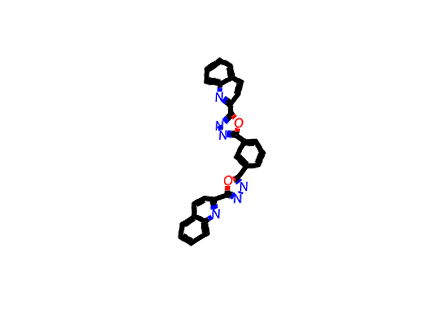 c1cc(-c2nnc(-c3ccc4ccccc4n3)o2)cc(-c2nnc(-c3ccc4ccccc4n3)o2)c1